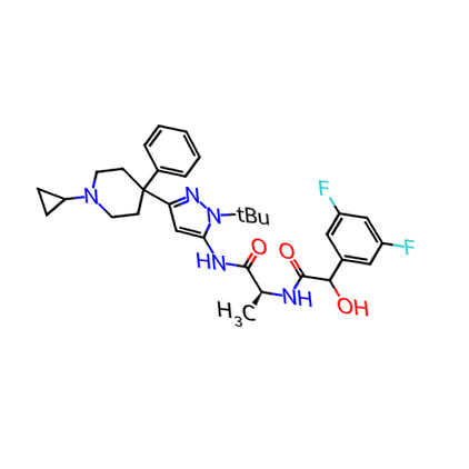 C[C@H](NC(=O)C(O)c1cc(F)cc(F)c1)C(=O)Nc1cc(C2(c3ccccc3)CCN(C3CC3)CC2)nn1C(C)(C)C